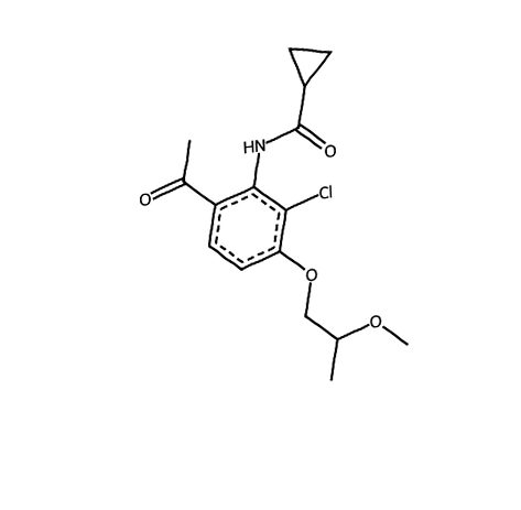 COC(C)COc1ccc(C(C)=O)c(NC(=O)C2CC2)c1Cl